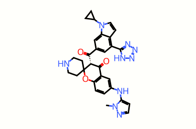 Cn1nccc1Nc1ccc2c(c1)C(=O)[C@@H](C(=O)c1cc(-c3nnn[nH]3)c3ccn(C4CC4)c3c1)C1(CCNCC1)O2